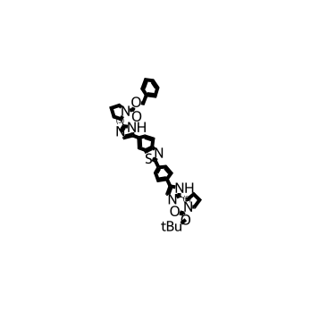 CC(C)(C)OC(=O)N1CCC[C@H]1c1ncc(-c2ccc(-c3nc4ccc(-c5cnc([C@@H]6CCCN6C(=O)OCc6ccccc6)[nH]5)cc4s3)cc2)[nH]1